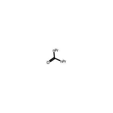 C[CH]CC(=O)CCC